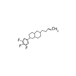 CC=CCCC1CCC2CC(c3cc(F)c(F)c(F)c3)CCC2C1